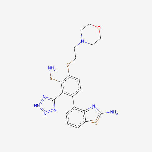 NSc1c(SCCN2CCOCC2)ccc(-c2cccc3sc(N)nc23)c1-c1nn[nH]n1